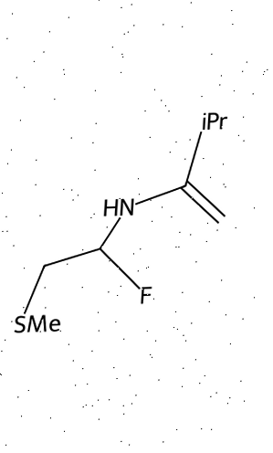 C=C(NC(F)CSC)C(C)C